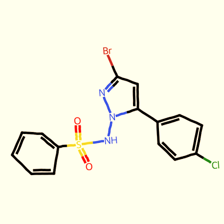 O=S(=O)(Nn1nc(Br)cc1-c1ccc(Cl)cc1)c1ccccc1